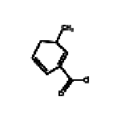 CC1C=C(C(=O)Cl)C=CC1